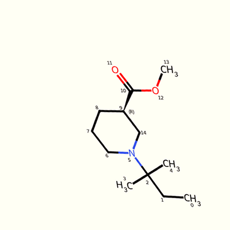 CCC(C)(C)N1CCC[C@@H](C(=O)OC)C1